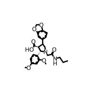 CCCNC(=O)CN1CC(c2ccc3c(c2)OCO3)[C@H](C(=O)O)[C@H]1c1ccc(OC)cc1OC